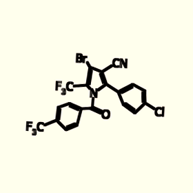 N#Cc1c(Br)c(C(F)(F)F)n(C(=O)c2ccc(C(F)(F)F)cc2)c1-c1ccc(Cl)cc1